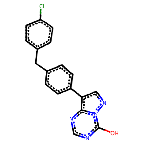 Oc1ncnc2c(-c3ccc(Cc4ccc(Cl)cc4)cc3)cnn12